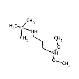 CO[SiH](CCCN[Si](C)(C)C)OC